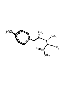 COC(=O)C(C)[C@@H](C)N(C)Cc1ccc(OC)cc1